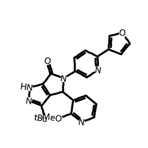 COc1ncccc1C1c2c(C(C)(C)C)n[nH]c2C(=O)N1c1ccc(-c2ccoc2)nc1